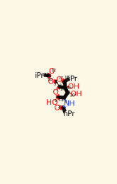 CCCC(=O)N[C@H]1C(O)O[C@H](COC(=O)C(C)C)[C@](O)(C(=O)C(C)C)[C@@H]1O